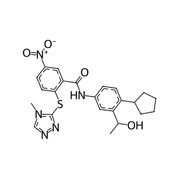 CC(O)c1cc(NC(=O)c2cc([N+](=O)[O-])ccc2Sc2nncn2C)ccc1C1CCCC1